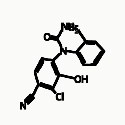 N#Cc1ccc(N(C(N)=O)c2ccccc2Br)c(O)c1Cl